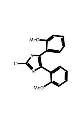 COc1ccccc1-c1nc(Cl)sc1-c1ccccc1OC